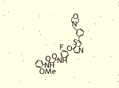 COc1ccccc1NC(=O)CC(=O)Nc1ccc(Oc2ccnc3cc(-c4cccc(CN5CCOCC5)c4)sc23)c(F)c1